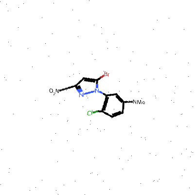 CNc1c[c]c(Cl)c(-n2nc([N+](=O)[O-])cc2Br)c1